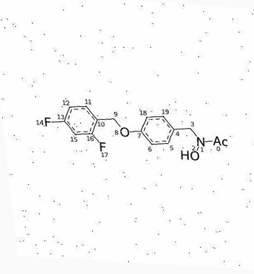 CC(=O)N(O)Cc1ccc(OCc2ccc(F)cc2F)cc1